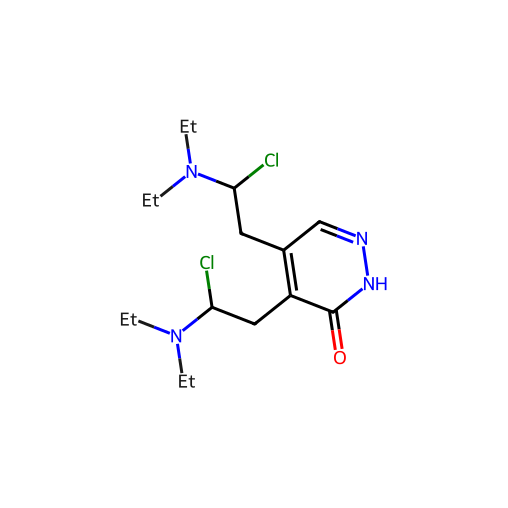 CCN(CC)C(Cl)Cc1cn[nH]c(=O)c1CC(Cl)N(CC)CC